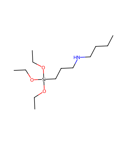 CCCCNCCC[Si](OCC)(OCC)OCC